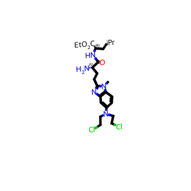 CCOC(=O)[C@@H](CC(C)C)NC(=O)[C@@H](N)CCc1nc2cc(N(CCCl)CCCl)ccc2n1C